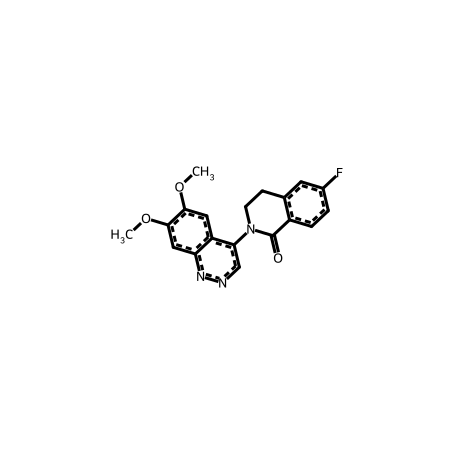 COc1cc2nncc(N3CCc4cc(F)ccc4C3=O)c2cc1OC